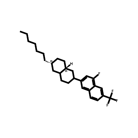 CCCCCCC[C@@H]1CC[C@@H]2CC(c3cc(F)c4cc(C(F)(F)F)ccc4c3)CCC2C1